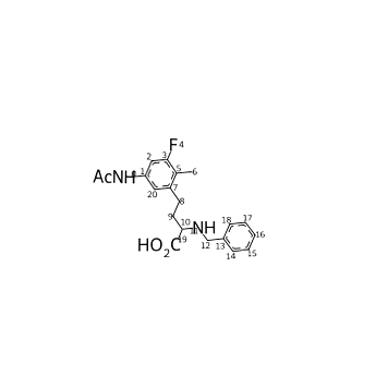 CC(=O)Nc1cc(F)c(C)c(CCC(NCc2ccccc2)C(=O)O)c1